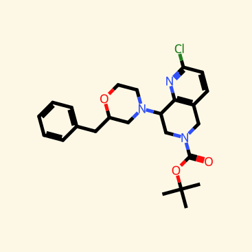 CC(C)(C)OC(=O)N1Cc2ccc(Cl)nc2C(N2CCOC(Cc3ccccc3)C2)C1